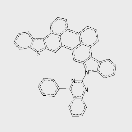 c1ccc(-c2nc(-n3c4ccccc4c4c5cccc6c7cccc8c9c(cc(c(cc43)c65)c78)sc3ccccc39)nc3ccccc23)cc1